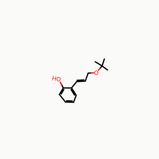 CC(C)(C)OCC=Cc1ccccc1O